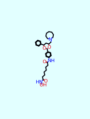 O=C(CCCCCCC(=O)Nc1ccc(C2OC(CN3CCCCCCC3)CC(c3ccccc3)O2)cc1)NO